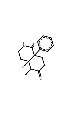 C[C@@H]1C(=O)CCC2(c3ccccc3)C(=O)NCC[C@@H]12